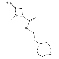 B=C1CC(C(=O)NCCC2CCCCC2)N1C